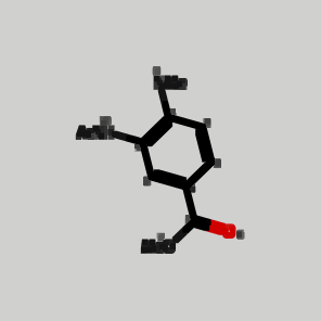 CNc1ccc(C(=O)OC)cc1NC(C)=O